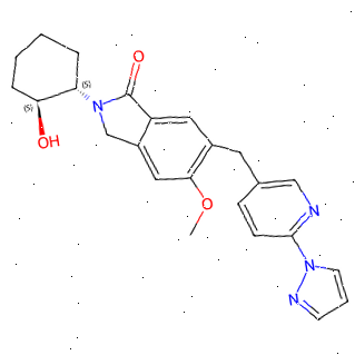 COc1cc2c(cc1Cc1ccc(-n3cccn3)nc1)C(=O)N([C@H]1CCCC[C@@H]1O)C2